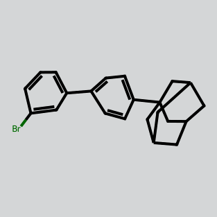 Brc1cccc(-c2ccc(C34CC5CC(CC(C5)C3)C4)cc2)c1